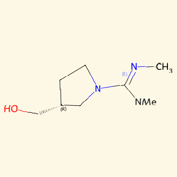 C/N=C(\NC)N1CC[C@@H](CO)C1